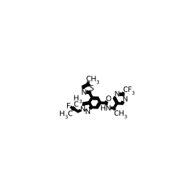 Cc1cnc(-c2cc(C(=O)NC(C)c3cnc(C(F)(F)F)nc3)cc3nn(CC(C)(C)F)cc23)s1